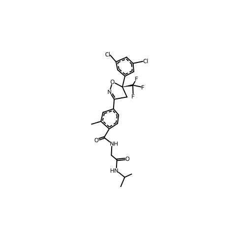 Cc1cc(C2=NO[C@@](c3cc(Cl)cc(Cl)c3)(C(F)(F)F)C2)ccc1C(=O)NCC(=O)NC(C)C